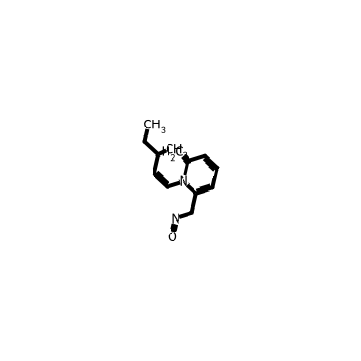 C=C1C=CC=C(CN=O)N1/C=C\C(C)CC